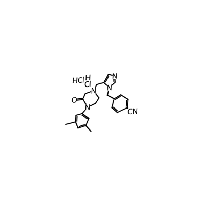 Cc1cc(C)cc(N2CCN(Cc3cncn3Cc3ccc(C#N)cc3)CC2=O)c1.Cl.Cl